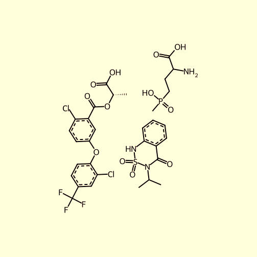 CC(C)N1C(=O)c2ccccc2NS1(=O)=O.CP(=O)(O)CCC(N)C(=O)O.C[C@H](OC(=O)c1cc(Oc2ccc(C(F)(F)F)cc2Cl)ccc1Cl)C(=O)O